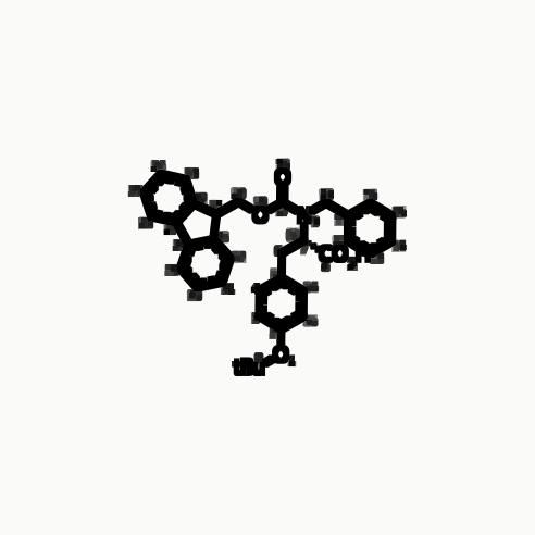 CC(C)(C)Oc1ccc(C[C@@H](C(=O)O)N(Cc2ccccc2)C(=O)OCC2c3ccccc3-c3ccccc32)cc1